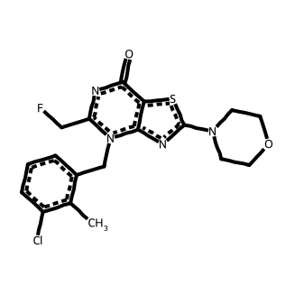 Cc1c(Cl)cccc1Cn1c(CF)nc(=O)c2sc(N3CCOCC3)nc21